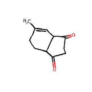 CC1=CC2C(=O)CC(=O)C2CC1